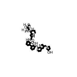 COC(=O)C(C)(C)NC1CCCn2nc(C(=O)Nc3cccc(-c4cccc(Nc5nccc6cc(CN7CC[C@@H](O)C7)cnc56)c4Cl)c3Cl)cc21